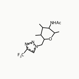 CC(=O)NC1C(C)OC(Cn2cc(C(F)(F)F)nn2)C(C)C1C